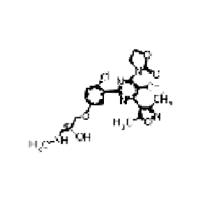 CNC[C@@H](O)COc1ccc(Cl)c(-c2nc(-c3c(C)noc3C)c(C)c(N3CCOC3=O)n2)c1